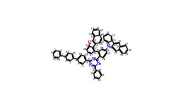 c1ccc(-c2ccc(-c3ccc(-c4nc(-c5ccccc5)nc(-c5ccc(-n6c7ccccc7c7cc8ccccc8cc76)cc5-c5cccc6oc7c8ccccc8ccc7c56)n4)cc3)cc2)cc1